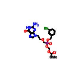 COC(=O)OCOP(=O)(COCCn1cnc2c(=O)[nH]c(N)nc21)OCc1cccc(Br)c1